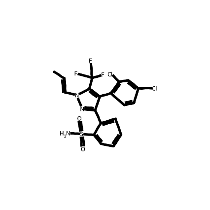 CC=Cn1nc(-c2ccccc2S(N)(=O)=O)c(-c2ccc(Cl)cc2Cl)c1C(F)(F)F